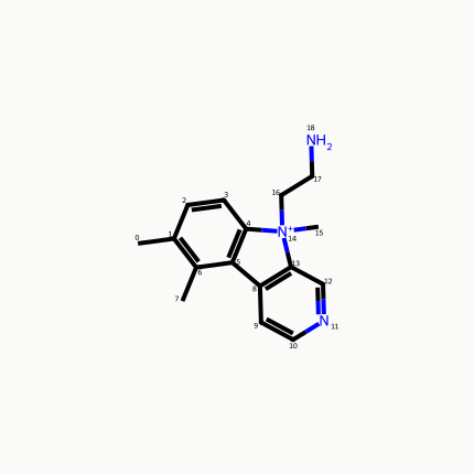 Cc1ccc2c(c1C)-c1ccncc1[N+]2(C)CCN